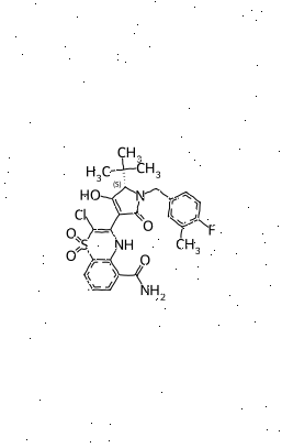 Cc1cc(CN2C(=O)C(C3=C(Cl)S(=O)(=O)c4c[c]cc(C(N)=O)c4N3)=C(O)[C@@H]2C(C)(C)C)ccc1F